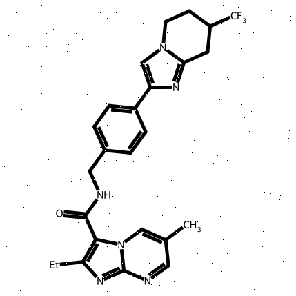 CCc1nc2ncc(C)cn2c1C(=O)NCc1ccc(-c2cn3c(n2)CC(C(F)(F)F)CC3)cc1